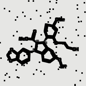 CCCOc1ccc2c(c1)[C@@H](c1ccc(OC)cc1OCCO)[C@@H](C(=O)OC)[C@H]2c1ccc2c(c1)OCO2